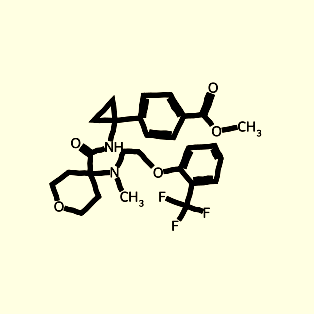 COC(=O)c1ccc(C2(NC(=O)C3(N(C)CCOc4ccccc4C(F)(F)F)CCOCC3)CC2)cc1